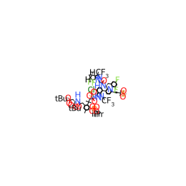 Cc1cc(CC(=O)N[C@H](CC(=O)OC(C)(C)C)C(=O)OC(C)(C)C)c(C(C)(C)CC(=O)N(c2nn(CC(F)(F)F)c3c(-c4ccc(C#CC(C)(C)S(C)(=O)=O)nc4[C@H](Cc4cc(F)cc(F)c4)NC(=O)Cn4nc(C(F)(F)F)c5c4C(F)(F)[C@@H]4C[C@H]54)ccc(Cl)c23)S(C)(=O)=O)c(OP(=O)(OC(C)C)OC(C)C)c1